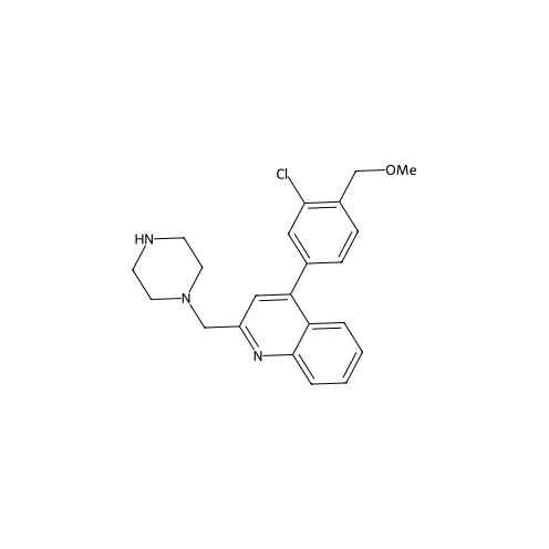 COCc1ccc(-c2cc(CN3CCNCC3)nc3ccccc23)cc1Cl